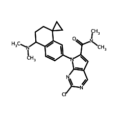 CN(C)C(=O)c1cc2cnc(Cl)nc2n1-c1ccc2c(c1)C1(CCC2N(C)C)CC1